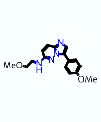 COCCNc1ccc2ncc(-c3ccc(OC)cc3)n2n1